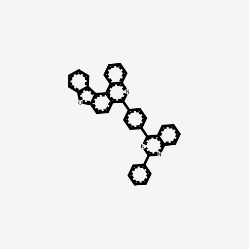 c1ccc(-c2nc(-c3ccc(-c4nc5ccccc5c5c4ccc4oc6ccccc6c45)cc3)c3ccccc3n2)cc1